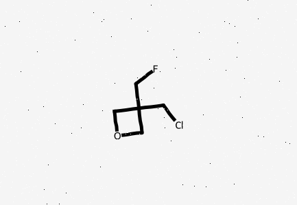 FCC1(CCl)COC1